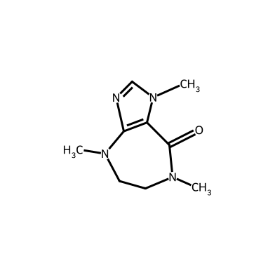 CN1CCN(C)c2ncn(C)c2C1=O